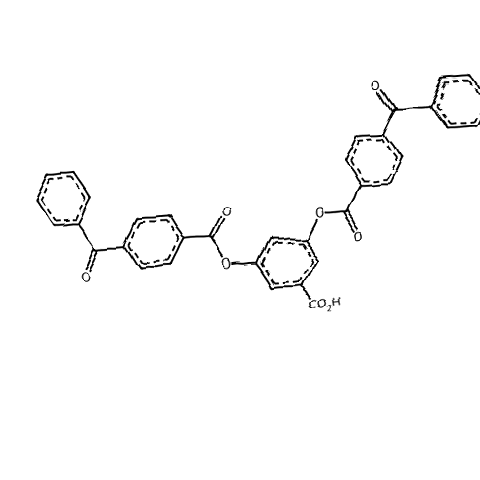 O=C(O)c1cc(OC(=O)c2ccc(C(=O)c3ccccc3)cc2)cc(OC(=O)c2ccc(C(=O)c3ccccc3)cc2)c1